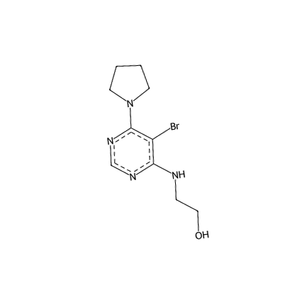 OCCNc1ncnc(N2CCCC2)c1Br